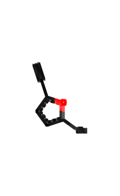 C#Cc1ccc(C(C)(C)C)o1